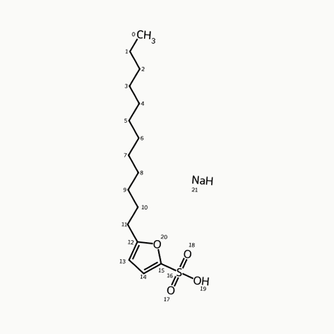 CCCCCCCCCCCCc1ccc(S(=O)(=O)O)o1.[NaH]